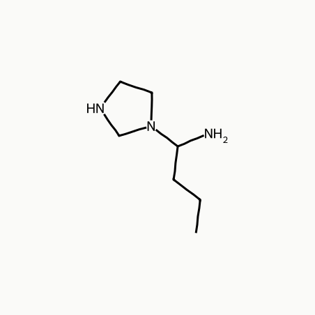 CCCC(N)N1CCNC1